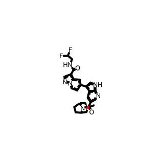 CN1CC2CCC(C1)N2C(=O)c1cnc2[nH]cc(-c3ccn4ncc(C(=O)NCC(F)F)c4c3)c2c1